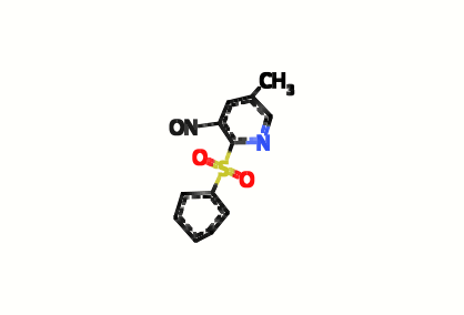 Cc1cnc(S(=O)(=O)c2ccccc2)c(N=O)c1